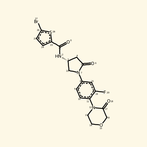 O=C(N[C@@H]1CC(=O)N(c2ccc(N3CCOCC3=O)c(F)c2)C1)c1ccc(Br)s1